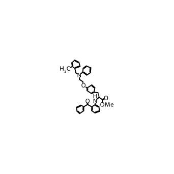 COC(=O)[C@H](Cc1ccc(OCCN(Cc2ccccc2C)c2ccccc2)cc1)Nc1ccccc1C(=O)c1ccccc1